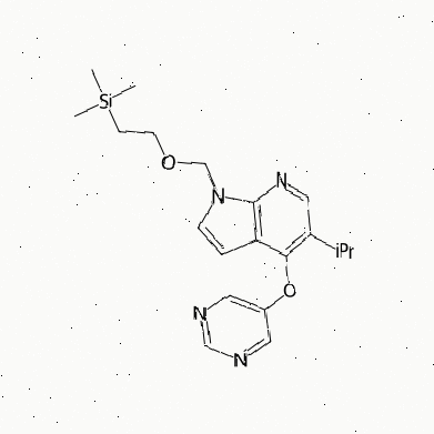 CC(C)c1cnc2c(ccn2COCC[Si](C)(C)C)c1Oc1cncnc1